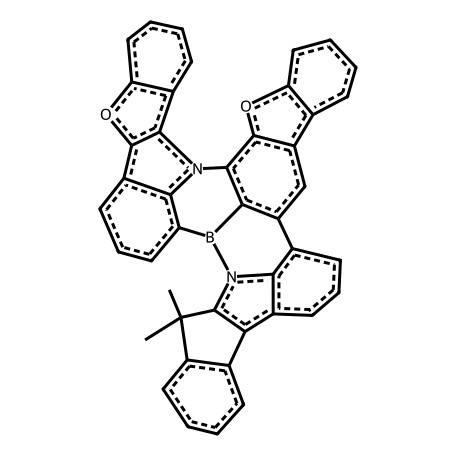 CC1(C)c2ccccc2-c2c1n1c3c(cccc23)-c2cc3c(oc4ccccc43)c3c2B1c1cccc2c4oc5ccccc5c4n-3c12